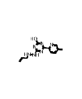 C=CCNNc1nc(O)nc(-c2ccc(C)cn2)n1